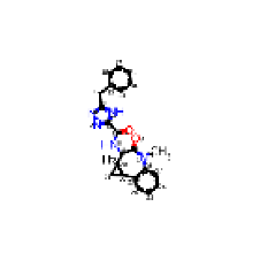 CN1C(=O)[C@H](NC(=O)c2nnc(Cc3ccccc3)[nH]2)[C@@H]2CC2c2ccccc21